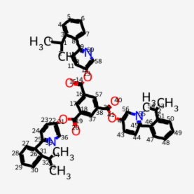 CC(C)c1ccccc1-c1ccc(OC(=O)c2cc(C(=O)Oc3ccc(-c4ccccc4C(C)C)nc3)cc(C(=O)Oc3ccc(-c4ccccc4C(C)C)nc3)c2)cn1